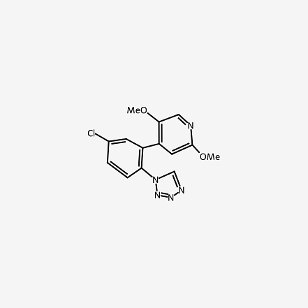 COc1cc(-c2cc(Cl)ccc2-n2cnnn2)c(OC)cn1